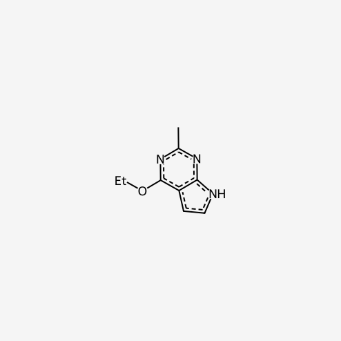 CCOc1nc(C)nc2[nH]ccc12